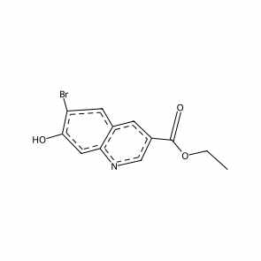 CCOC(=O)c1cnc2cc(O)c(Br)cc2c1